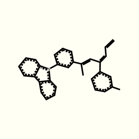 C=C/C=C(\C=C(/C)c1cccc(-n2c3ccccc3c3ccccc32)c1)c1cccc(C)c1